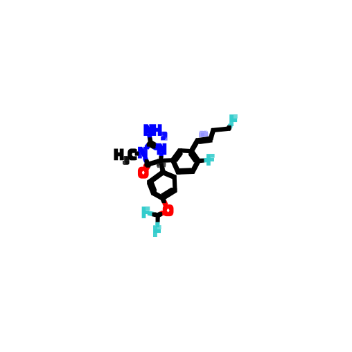 CN1C(=O)[C@](c2ccc(F)c(/C=C/CCF)c2)(C2C=CC(OC(F)F)=CC2)N=C1N